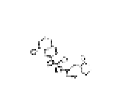 O=C(Oc1ccc2c(c1)C(=O)CCC2)Oc1ccc2c(c1)C(=O)CCC2